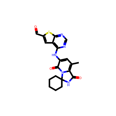 Cc1cc(Nc2ncnc3sc(C=O)cc23)c(=O)n2c1C(=O)NC21CCCCC1